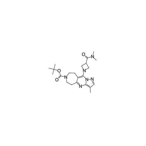 Cc1cnn2c(N3CC(C(=O)N(C)C)C3)c3c(nc12)CCN(C(=O)OC(C)(C)C)CC3